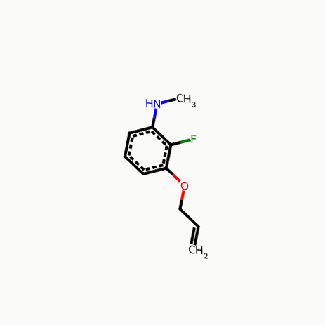 C=CCOc1cccc(NC)c1F